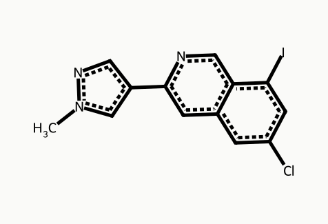 Cn1cc(-c2cc3cc(Cl)cc(I)c3cn2)cn1